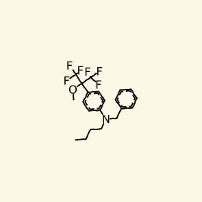 CCCCN(Cc1ccccc1)c1ccc(C(OC)(C(F)(F)F)C(F)(F)F)cc1